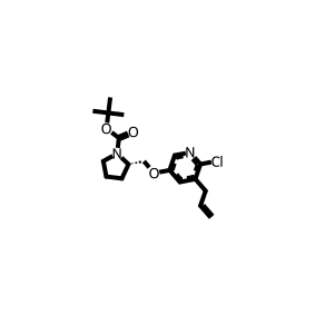 C=CCc1cc(OC[C@@H]2CCCN2C(=O)OC(C)(C)C)cnc1Cl